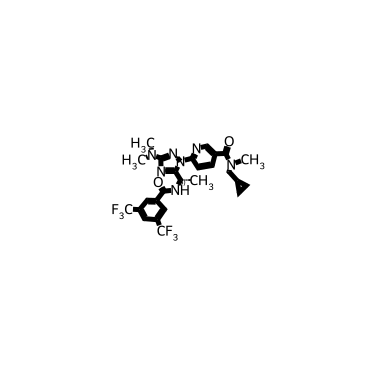 C[C@H](NC(=O)c1cc(C(F)(F)F)cc(C(F)(F)F)c1)c1nc(N(C)C)nn1-c1ccc(C(=O)N(C)CC2CC2)cn1